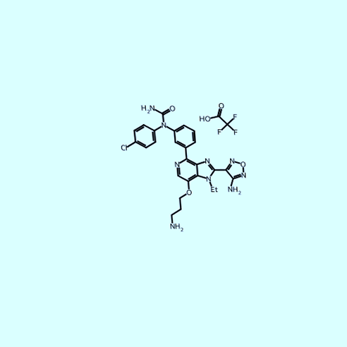 CCn1c(-c2nonc2N)nc2c(-c3cccc(N(C(N)=O)c4ccc(Cl)cc4)c3)ncc(OCCCN)c21.O=C(O)C(F)(F)F